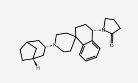 O=C1CCCN1[C@H]1CCC2(CCN([C@H]3CC4CC[C@H](C4)C3)CC2)c2ccccc21